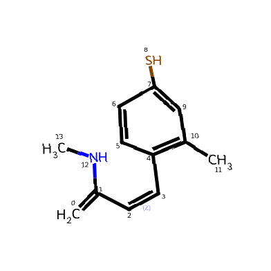 C=C(/C=C\c1ccc(S)cc1C)NC